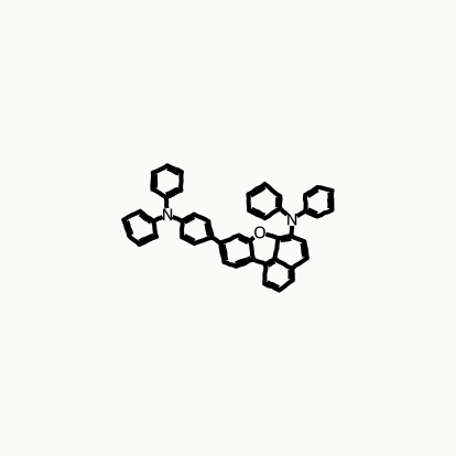 c1ccc(N(c2ccccc2)c2ccc(-c3ccc4c(c3)Oc3c(N(c5ccccc5)c5ccccc5)ccc5cccc-4c35)cc2)cc1